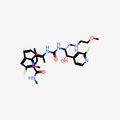 C/N=C(C1=C\C(F)=C(\C(=O)NC)CC/C=C\1)\C(C)=C(/C)NC(=O)N[C@H](CNCCOC)[C@@H](O)c1ccnc(F)c1